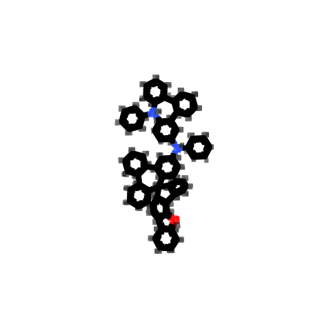 c1ccc(N(c2ccc3c(c2)-c2ccccc2-c2ccccc2N3c2ccccc2)c2ccc3c(c2)-c2ccccc2-c2ccccc2C32c3ccccc3-c3c2ccc2c3oc3ccccc32)cc1